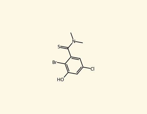 CN(C)C(=S)c1cc(Cl)cc(O)c1Br